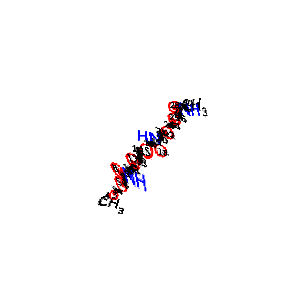 CCOCCOCC(=O)NCCOCCOCC(=O)NCCOCCOCC(=O)NC